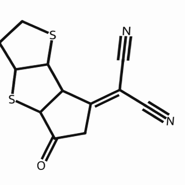 N#CC(C#N)=C1CC(=O)C2SC3CCSC3C12